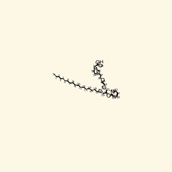 CCCCCCCCCCCCCCCCCCOCC(COCCOCCN1CCN(CC(=O)O)C1)Oc1ncccn1